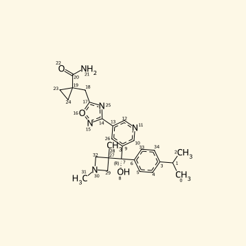 CC(C)c1ccc([C@](O)(c2cncc(-c3noc(CC4(C(N)=O)CC4)n3)c2)C2(C)CN(C)C2)cc1